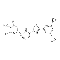 Cc1c(F)cc([C@@H](C)NC(=O)c2csc(-c3cc(C4CC4)cc(C4CC4)c3)n2)cc1F